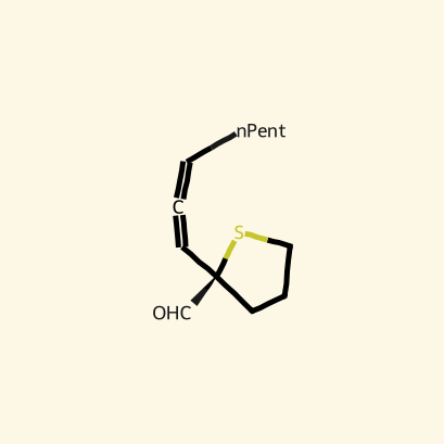 CCCCCC=C=C[C@@]1(C=O)CCCS1